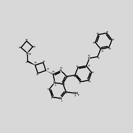 Nc1nccn2c1c(-c1cccc(OCc3ccccc3)c1)nc2[C@H]1C[C@H](CN2CCC2)C1